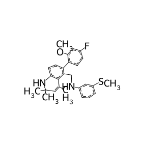 COc1cc(F)ccc1-c1ccc2c(c1CNc1cccc(SC)c1)C(C)=CC(C)(C)N2